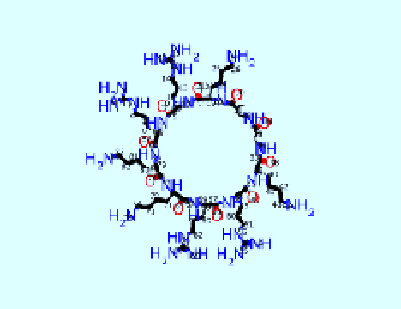 N=C(N)NCCC[C@@H]1NC(=O)[C@H](CCCNC(=N)N)NC(=O)[C@@H](CCCCN)NC(=O)CNC(=O)CNC(=O)[C@H](CCCCN)NC(=O)[C@H](CCCNC(=N)N)NC(=O)[C@H](CCCNC(=N)N)NC(=O)[C@@H](CCCCN)NC(=O)[C@H](CCCCN)NC1=O